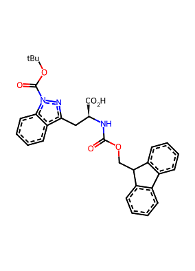 CC(C)(C)OC(=O)n1nc(C[C@H](NC(=O)OCC2c3ccccc3-c3ccccc32)C(=O)O)c2ccccc21